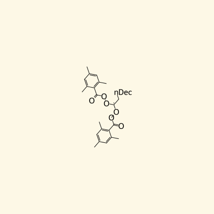 [CH2]CCCCCCCCCC[C](OOC(=O)c1c(C)cc(C)cc1C)OOC(=O)c1c(C)cc(C)cc1C